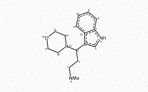 CNCCC(c1c[nH]c2ccccc12)N1CCOCC1